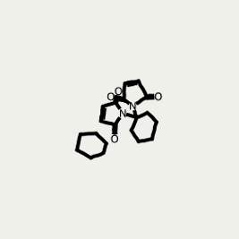 C1CCCCC1.O=C1C=CC(=O)N1C1(N2C(=O)C=CC2=O)CCCCC1